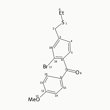 CCSCc1ccc(C(=O)c2ccc(OC)cc2)c(Br)c1